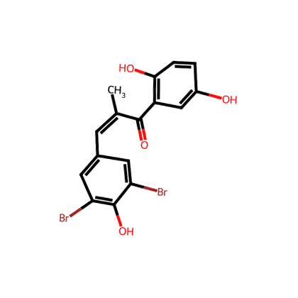 CC(=Cc1cc(Br)c(O)c(Br)c1)C(=O)c1cc(O)ccc1O